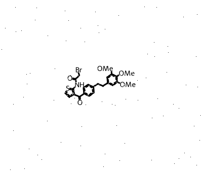 COc1cc(CCc2ccc(C(=O)c3ccsc3NC(=O)CBr)cc2)cc(OC)c1OC